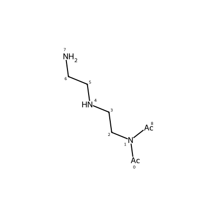 CC(=O)N(CCNCCN)C(C)=O